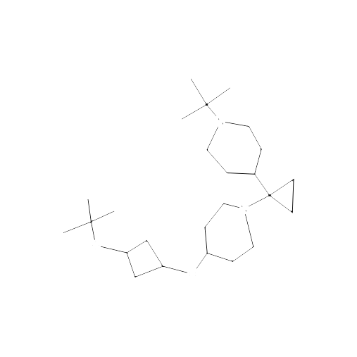 CC(C)(C)OC1CC(OC2CCN(C3(C4CCN(C(C)(C)C)CC4)CC3)CC2)C1